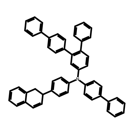 C1=CC(c2ccc(N(c3ccc(-c4ccccc4)cc3)c3ccc(-c4ccccc4)c(-c4ccc(-c5ccccc5)cc4)c3)cc2)Cc2ccccc21